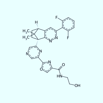 CC1(C)[C@H]2CC[C@]1(c1cncc(-c3nc(C(=O)NCCO)co3)n1)c1nnc(-c3c(F)cccc3F)cc12